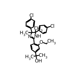 CCOc1cc(C(C)(C)O)ccc1C1=NC(C)(c2ccc(Cl)cc2)C(C)(c2ccc(Cl)cc2)N1